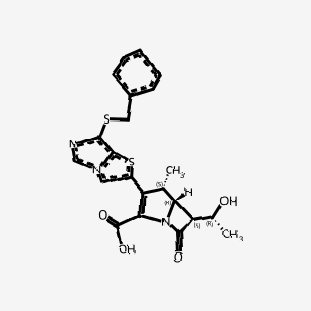 C[C@@H](O)[C@H]1C(=O)N2C(C(=O)O)=C(c3cn4cnc(SCc5ccccc5)c4s3)[C@H](C)[C@H]12